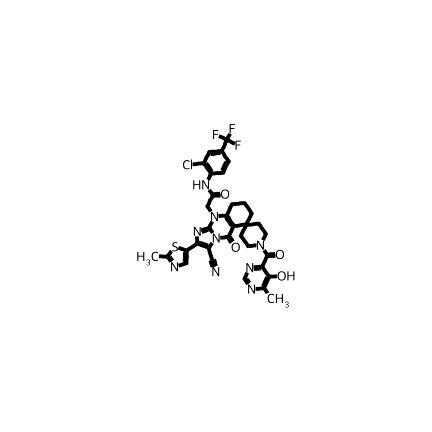 Cc1ncc(-c2nc3n(CC(=O)Nc4ccc(C(F)(F)F)cc4Cl)c4c(c(=O)n3c2C#N)C2(CCC4)CCN(C(=O)c3ncnc(C)c3O)CC2)s1